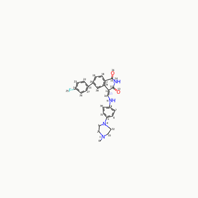 CN1CCN(c2ccc(N/C=C3\C(=O)NC(=O)c4ccc(-c5ccc(F)cc5)cc43)cc2)CC1